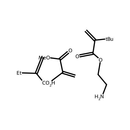 C=C(C(=O)OCCN)C(C)(C)C.C=C(C)C(=O)OC.C=C(CC)C(=O)O